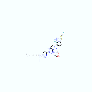 COCCNc1ccc(-c2nc(N3CCOCC3)c3nc(-c4cccc(NSCCCF)c4F)ccc3n2)cn1